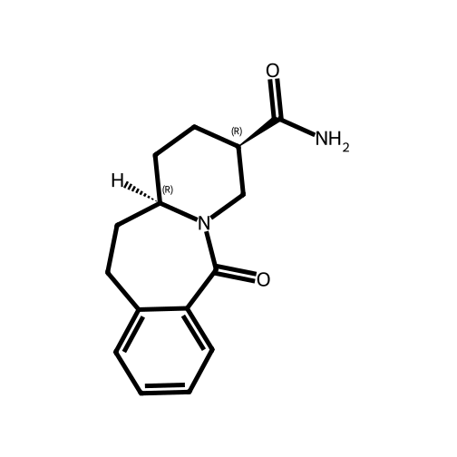 NC(=O)[C@@H]1CC[C@@H]2CCc3ccccc3C(=O)N2C1